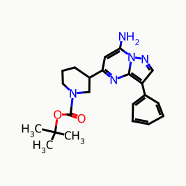 CC(C)(C)OC(=O)N1CCCC(c2cc(N)n3ncc(-c4ccccc4)c3n2)C1